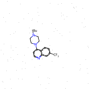 CC(C)(C)N1CCN(c2ccnc3cc(C(F)(F)F)ccc23)CC1